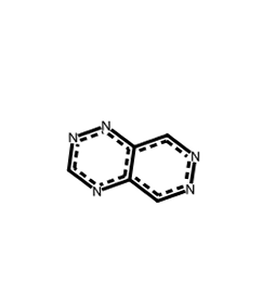 c1nnc2cnncc2n1